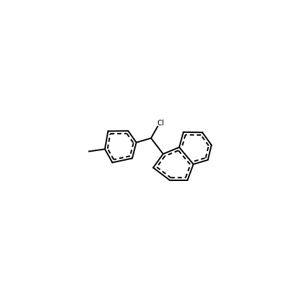 Cc1ccc(C(Cl)c2cccc3ccccc23)cc1